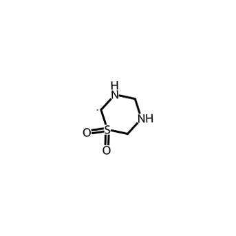 O=S1(=O)[CH]NCNC1